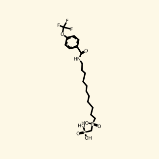 O=C(NCCCCCCCCCCCP(=O)(O)CP(=O)(O)O)c1ccc(OC(F)(F)F)cc1